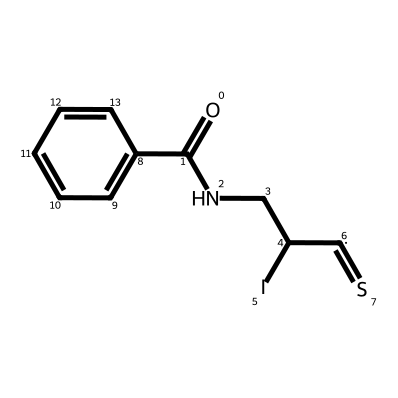 O=C(NCC(I)[C]=S)c1ccccc1